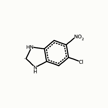 O=[N+]([O-])c1cc2c(cc1Cl)N[CH]N2